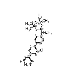 CN(c1ccc(-c2ccc(/C(C=N)=C/N)cc2Cl)nn1)C1CC(C)(C)NC(C)(C)C1